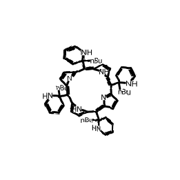 CCCCC1(c2c3nc(c(C4(CCCC)C=CC=CN4)c4ccc([nH]4)c(C4(CCCC)C=CC=CN4)c4nc(c(C5(CCCC)C=CC=CN5)c5ccc2[nH]5)C=C4)C=C3)C=CC=CN1